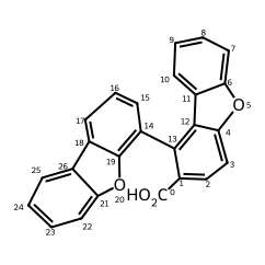 O=C(O)c1ccc2oc3ccccc3c2c1-c1cccc2c1oc1ccccc12